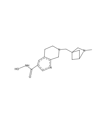 CN1CC2(CN3CCc4cc(C(=O)NO)cnc4C3)CC1C2